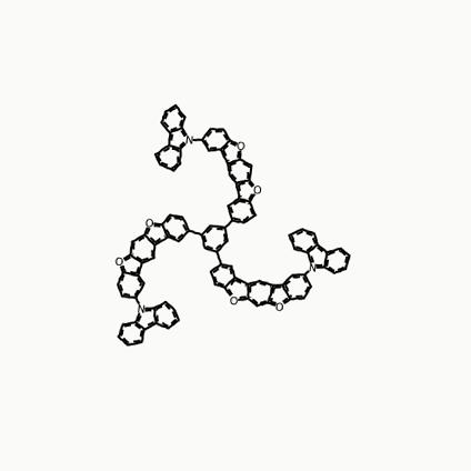 c1ccc2c(c1)c1ccccc1n2-c1ccc2oc3cc4oc5ccc(-c6cc(-c7ccc8oc9cc%10oc%11ccc(-n%12c%13ccccc%13c%13ccccc%13%12)cc%11c%10cc9c8c7)cc(-c7ccc8oc9cc%10oc%11ccc(-n%12c%13ccccc%13c%13ccccc%13%12)cc%11c%10cc9c8c7)c6)cc5c4cc3c2c1